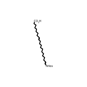 CCCCCCC=CCCCCCCCCCCC=CCCCCCCCC(=O)O